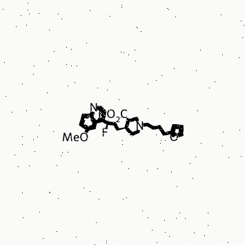 COc1ccc2nccc([C@H](F)CC[C@@H]3CCN(CCCCc4ccco4)C[C@@H]3C(=O)O)c2c1